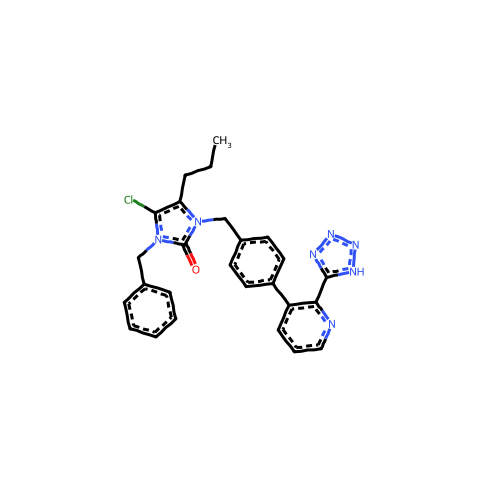 CCCc1c(Cl)n(Cc2ccccc2)c(=O)n1Cc1ccc(-c2cccnc2-c2nnn[nH]2)cc1